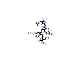 C=CC1=C(C)C(O)=NC1=Cc1[nH]c(CC2N=C(C=C3N=C(O)C(C=C)=C3C)C(C)=C2CCC(=O)O)c(CCC(=O)O)c1C.CCO